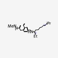 C=Cc1cc(CN/C(=C\CC)CCCC/C=C/C(C)C)ccc1CC(=C)N(C)NC